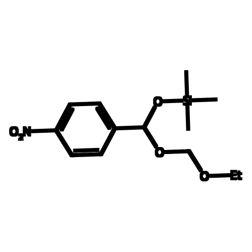 CCOCOC(O[Si](C)(C)C)c1ccc([N+](=O)[O-])cc1